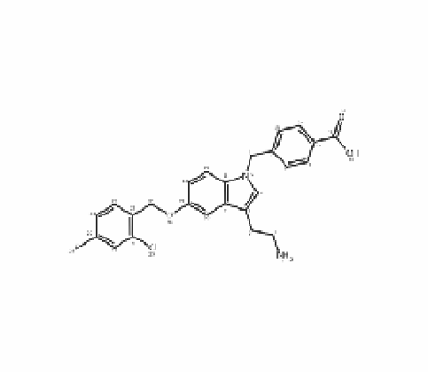 NCCc1cn(Cc2ccc(C(=O)O)cc2)c2ccc(OCc3ccc(F)cc3Cl)cc12